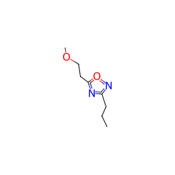 CCCc1noc(CCOC)n1